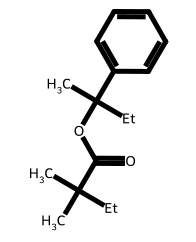 CCC(C)(C)C(=O)OC(C)(CC)c1ccccc1